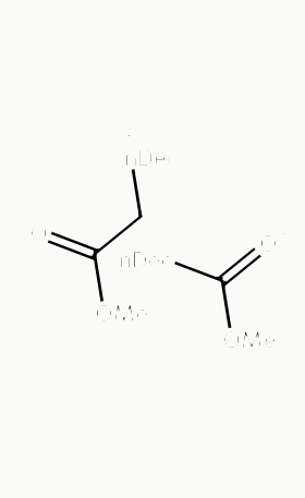 CCCCCCCCCCC(=O)OC.CCCCCCCCCCCC(=O)OC